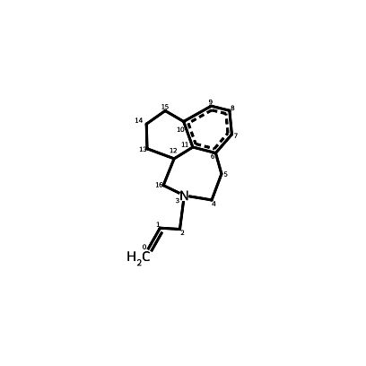 C=CCN1CCc2cccc3c2C(CCC3)C1